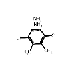 Cc1c(Cl)ccc(Cl)c1C.N.N